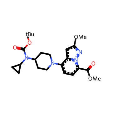 COC(=O)c1ccc(N2CCC(N(C(=O)OC(C)(C)C)C3CC3)CC2)c2cc(OC)nn12